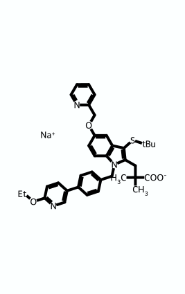 CCOc1ccc(-c2ccc(Cn3c(CC(C)(C)C(=O)[O-])c(SC(C)(C)C)c4cc(OCc5ccccn5)ccc43)cc2)cn1.[Na+]